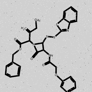 C=C(COC(C)=O)C(C(=O)OCc1ccccc1)N1C(=O)C(NC(=O)COc2ccccc2)C1SSc1nc2ccccc2s1